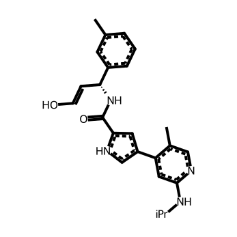 Cc1cccc([C@@H](C=CO)NC(=O)c2cc(-c3cc(NC(C)C)ncc3C)c[nH]2)c1